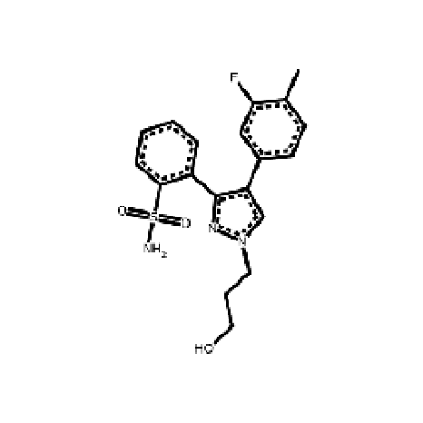 Cc1ccc(-c2cn(CCCO)nc2-c2ccccc2S(N)(=O)=O)cc1F